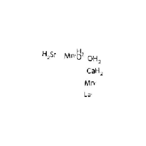 O.O.[CaH2].[La].[Mn].[Mn].[SrH2]